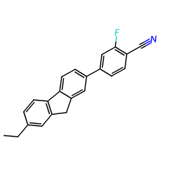 CCc1ccc2c(c1)Cc1cc(-c3ccc(C#N)c(F)c3)ccc1-2